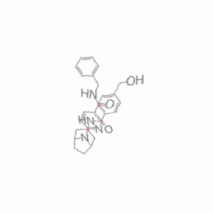 O=C(NCc1ccccc1)c1ccc(N2C3CCC2CC(NC(=O)c2ccc(CO)cc2)C3)nc1